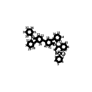 O=S1(c2ccccc2)=NC=C(n2c3ccccc3c3cc(-c4ccc5c(c4)c4ccccc4n5-c4ccccc4)ccc32)c2ccccc21